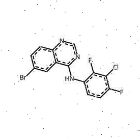 Fc1ccc(Nc2ncnc3ccc(Br)cc23)c(F)c1Cl